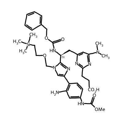 COC(=O)Nc1ccc(-c2cn(COCC[Si](C)(C)C)c([C@H](Cc3cc(N(C)C)nc(CCC(=O)O)n3)NC(=O)OCc3ccccc3)n2)c(N)c1